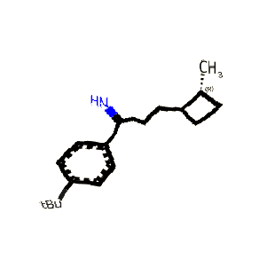 C[C@@H]1CCC1CCC(=N)c1ccc(C(C)(C)C)cc1